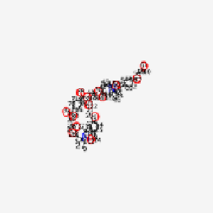 CCC1(CC)CC2(CC(C)(C)N1OC(C)c1ccc(OCC3CO3)cc1)OCC(COC(=O)c1ccc(C(=O)OCC3COC4(CC(C)(C)N(OC(C)c5ccc(OCC6CO6)cc5)C(CC)(CC)C4)O3)cc1)O2